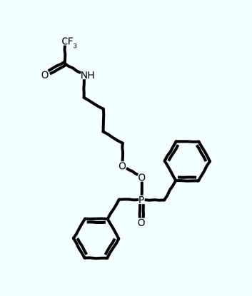 O=C(NCCCCOOP(=O)(Cc1ccccc1)Cc1ccccc1)C(F)(F)F